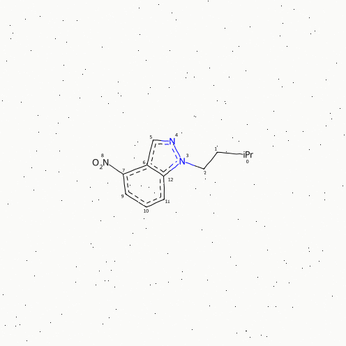 CC(C)CCn1ncc2c([N+](=O)[O-])cccc21